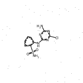 Nc1nc(Cl)nc(Nc2ccccc2S(N)(=O)=O)n1